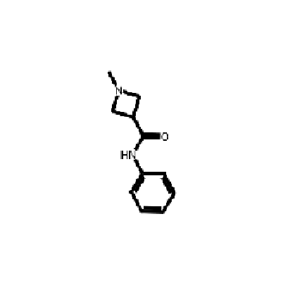 CN1CC(C(=O)Nc2ccccc2)C1